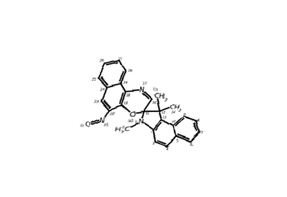 CN1c2ccc3ccccc3c2C(C)(C)C12C=Nc1c(c(N=O)cc3ccccc13)O2